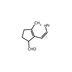 CCC/C=C\C1=C(C)CCC1C=O